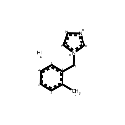 Cc1ccccc1Cn1ccnc1.I